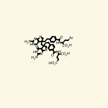 CC(=O)CCC(NC(=O)c1ccc(CCC2(CC3(CCc4ccc(C(=O)NC(CCC(=O)O)C(=O)O)cc4)C=Nc4nc(N)[nH]c(=O)c43)C=Nc3nc(N)[nH]c(=O)c32)cc1)C(=O)O